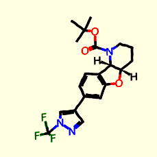 CC(C)(C)OC(=O)N1CCC[C@@H]2Oc3cc(-c4cnn(C(F)(F)F)c4)ccc3[C@@H]21